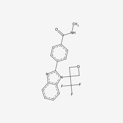 CNC(=O)c1ccc(-c2nc3ccccc3n2C2(C(F)(F)F)COC2)cc1